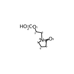 O=C(O)OCCN1CCCC1=O